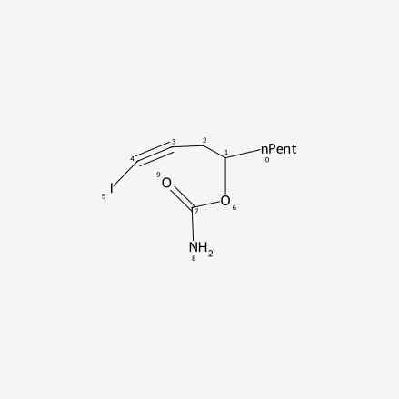 CCCCCC(CC#CI)OC(N)=O